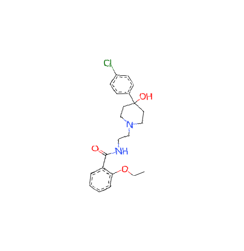 CCOc1ccccc1C(=O)NCCN1CCC(O)(c2ccc(Cl)cc2)CC1